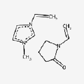 C=CN1CCCC1=O.C=Cn1cc[n+](C)c1